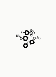 CC(C)(C)Oc1cccc([S+](c2ccccc2)c2cccc(OC(C)(C)C)c2)c1.O=S(=O)([O-])c1ccc(F)cc1